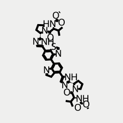 COC(=O)N[C@H](C(=O)N1CCC[C@H]1c1ncc(-c2ccc(-c3ccc(-c4cnc([C@@H]5CCCN5C(=O)[C@@H](NC(=O)OC)C(C)C)[nH]4)c4scnc34)c3c2CC=N3)[nH]1)C(C)C